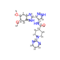 COc1cc2nc(-c3n[nH]cc3NC(=O)C3CCN(c4ncccn4)CC3)[nH]c2cc1OC